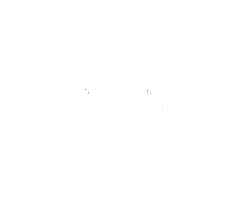 Clc1cc2ncc(Br)cc2cn1